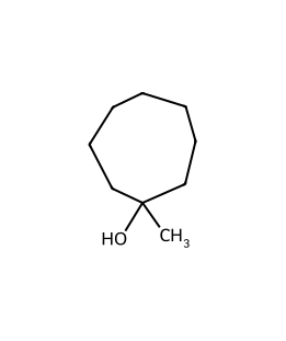 CC1(O)CCCCCCC1